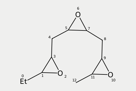 CCC1OC1CC1OC1CC1OC1C